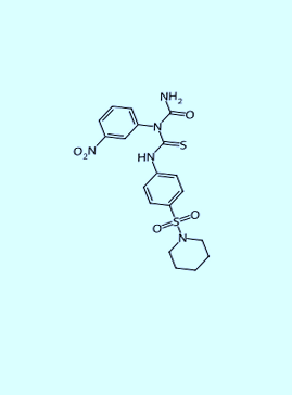 NC(=O)N(C(=S)Nc1ccc(S(=O)(=O)N2CCCCC2)cc1)c1cccc([N+](=O)[O-])c1